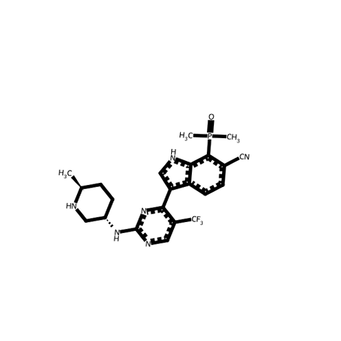 C[C@H]1CC[C@H](Nc2ncc(C(F)(F)F)c(-c3c[nH]c4c(P(C)(C)=O)c(C#N)ccc34)n2)CN1